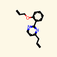 C=CCOc1ccccc1-c1nccc(CC=C)n1